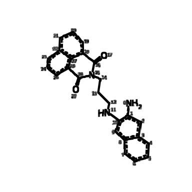 Nc1cc2ccccc2cc1NCCCN1C(=O)c2cccc3cccc(c23)C1=O